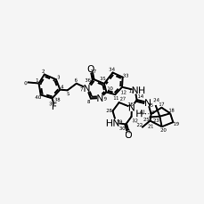 Cc1ccc(CCn2cnc3cc(N/C(=N/[C@H]4CC5CC(C4C)C5(C)C)N4CCNC(=O)C4)ccc3c2=O)c(F)c1